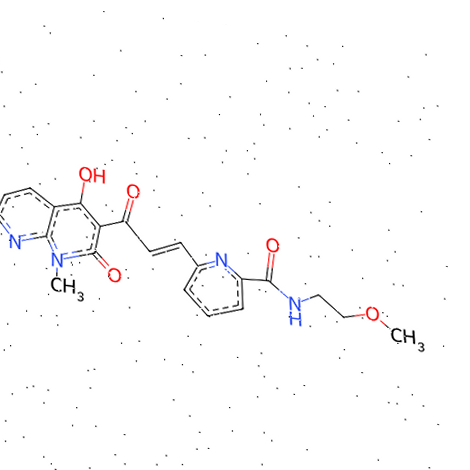 COCCNC(=O)c1cccc(C=CC(=O)c2c(O)c3cccnc3n(C)c2=O)n1